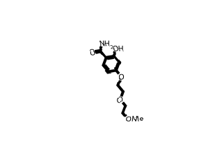 COCCOCCOc1ccc(C(N)=O)c(O)c1